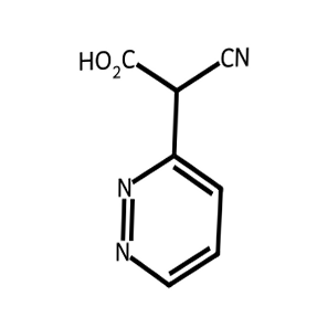 N#CC(C(=O)O)c1cccnn1